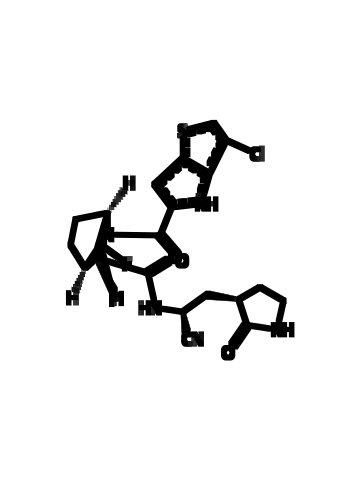 N#C[C@H](C[C@H]1CCNC1=O)NC(=O)[C@@H]1[C@H]2CC[C@H](CC2(F)F)N1C(=O)c1cc2scc(Cl)c2[nH]1